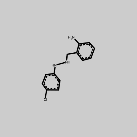 Nc1ccccc1CNNc1ccc(Cl)cc1